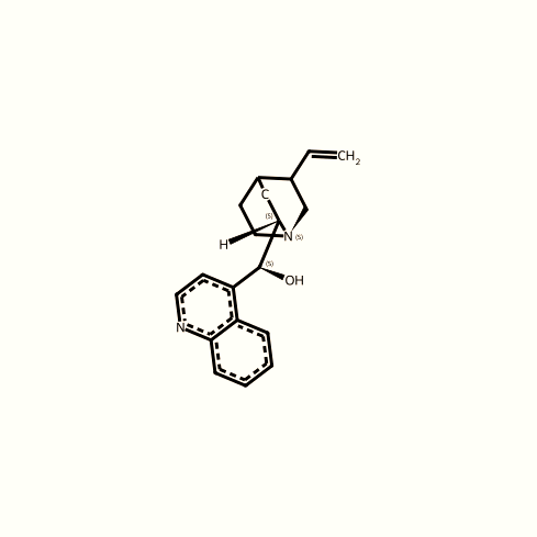 C=CC1C[N@@]2CCC1C[C@H]2[C@@H](O)c1ccnc2ccccc12